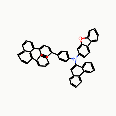 c1ccc(-c2cccc3cccc(-c4ccc(-c5ccc(N(c6ccc7c(c6)oc6ccccc67)c6cc7ccccc7c7ccccc67)cc5)cc4)c23)cc1